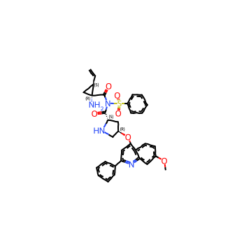 C=C[C@@H]1C[C@]1(N)C(=O)N(C(=O)[C@@H]1C[C@@H](Oc2cc(-c3ccccc3)nc3cc(OC)ccc23)CN1)S(=O)(=O)c1ccccc1